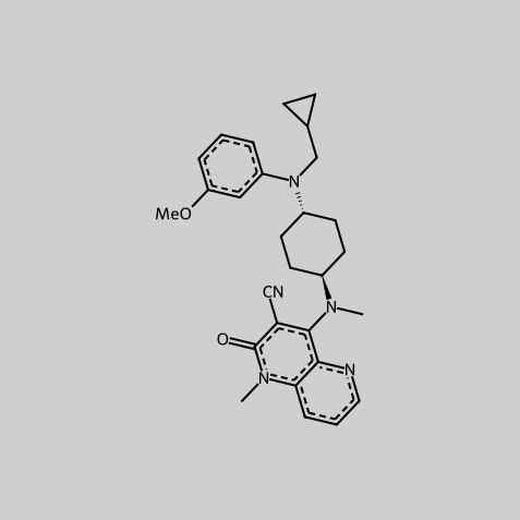 COc1cccc(N(CC2CC2)[C@H]2CC[C@H](N(C)c3c(C#N)c(=O)n(C)c4cccnc34)CC2)c1